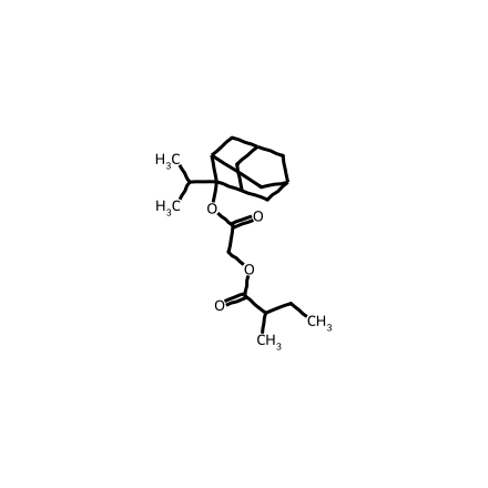 CCC(C)C(=O)OCC(=O)OC1(C(C)C)C2CC3CC(C2)CC1C3